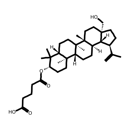 C=C(C)[C@@H]1CC[C@]2(CO)CC[C@]3(C)[C@H](CC[C@@H]4[C@@]5(C)CC[C@H](OC(=O)CCCC(=O)O)C(C)(C)[C@@H]5CC[C@]43C)[C@@H]12